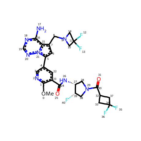 COc1ncc(-c2cc(CN3CC(F)(F)C3)c3c(N)ncnn23)cc1C(=O)N[C@@H]1CN(C(=O)C2CC(F)(F)C2)C[C@@H]1F